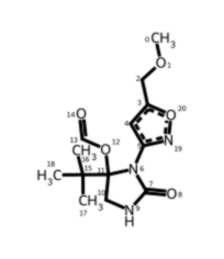 COCc1cc(N2C(=O)NCC2(OC=O)C(C)(C)C)no1